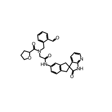 O=Cc1ccccc1CN(CC(=O)Nc1ccc2c(c1)CC1(C2)C(=O)Nc2ncccc21)C(=O)C1CCCO1